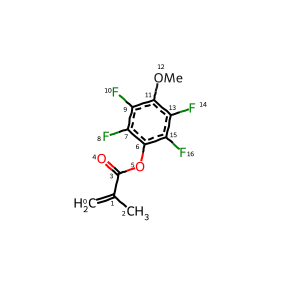 C=C(C)C(=O)Oc1c(F)c(F)c(OC)c(F)c1F